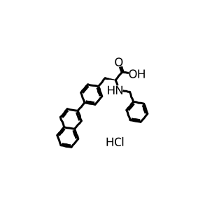 Cl.O=C(O)[C@H](Cc1ccc(-c2ccc3ccccc3c2)cc1)NCc1ccccc1